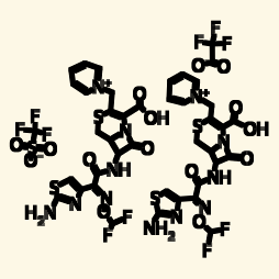 Nc1nc(C(=NOC(F)F)C(=O)NC2C(=O)N3C(C(=O)O)=C(C[n+]4ccccc4)SCC23)cs1.Nc1nc(C(=NOC(F)F)C(=O)NC2C(=O)N3C(C(=O)O)=C(C[n+]4ccccc4)SCC23)cs1.O=C([O-])C(F)(F)F.O=S(=O)([O-])C(F)(F)F